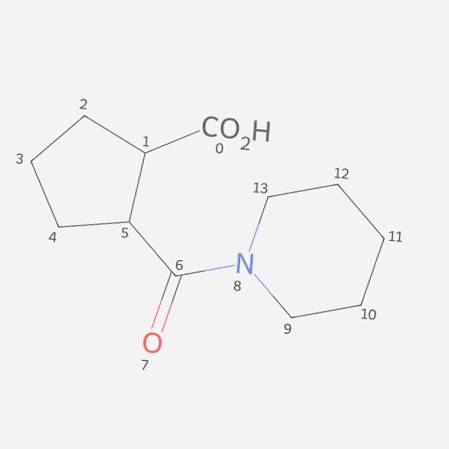 O=C(O)C1CCCC1C(=O)N1CCCCC1